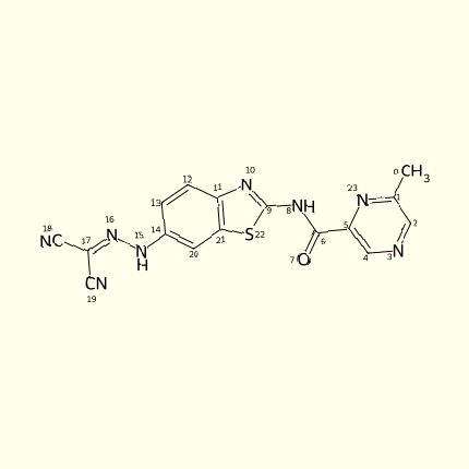 Cc1cncc(C(=O)Nc2nc3ccc(NN=C(C#N)C#N)cc3s2)n1